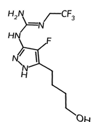 NC(=NCC(F)(F)F)Nc1n[nH]c(CCCCO)c1F